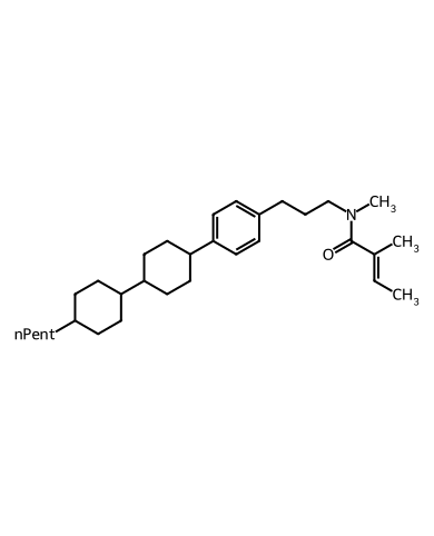 C/C=C(\C)C(=O)N(C)CCCc1ccc(C2CCC(C3CCC(CCCCC)CC3)CC2)cc1